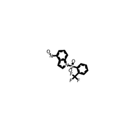 O=Nc1cccc2c1ccn2S(=O)(=O)c1ccccc1C(F)(F)F